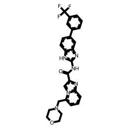 O=C(Nc1nc2cc(-c3cccc(C(F)(F)F)c3)ccc2[nH]1)c1cn2c(CN3CCOCC3)cccc2n1